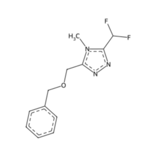 Cn1c(COCc2ccccc2)nnc1C(F)F